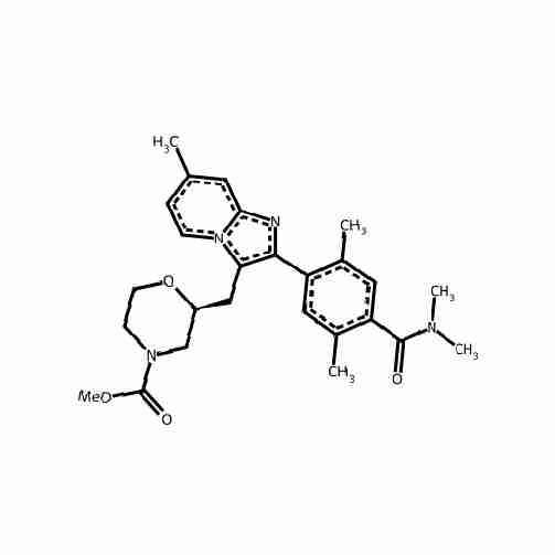 COC(=O)N1CCO[C@@H](Cc2c(-c3cc(C)c(C(=O)N(C)C)cc3C)nc3cc(C)ccn23)C1